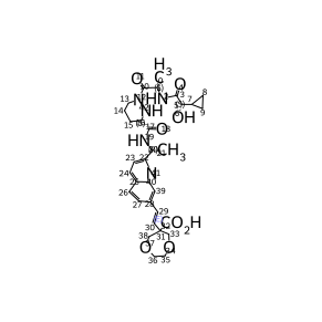 C[C@H](NC(=O)[C@@H](O)C1CC1)C(=O)N1CCC[C@@H](C(=O)N[C@H](C)c2ccc3ccc(/C=C/C4(C(=O)O)COCCOC4)cc3n2)N1